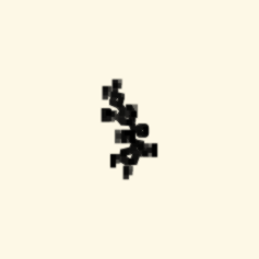 O=C(Nc1c[nH]c2cc(F)c(F)cc12)c1cnc(C2CC(F)(F)C2)c(Br)c1